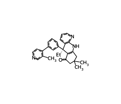 CC[C@@]1(c2cccc(-c3ccncc3C)c2)C2=C(CC(C)(C)CC2=O)Nc2ncccc21